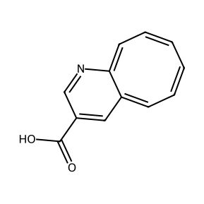 O=C(O)c1cnc2/c(c1)=C\C=C/C=C\C=2